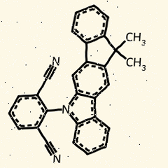 CC1(C)c2ccccc2-c2cc3c(cc21)c1ccccc1n3-c1c(C#N)cccc1C#N